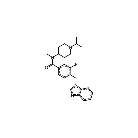 CC(C)N1CCC(N(C)C(=O)c2ccc(Cn3cnc4ccccc43)c(F)c2)CC1